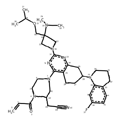 C=CC(=O)N1CCN(c2nc(N3CC(COC(C)C)(N(C)C)C3)nc3c2CCC(N2CCCc4ccc(F)cc42)C3)CC1CC#N